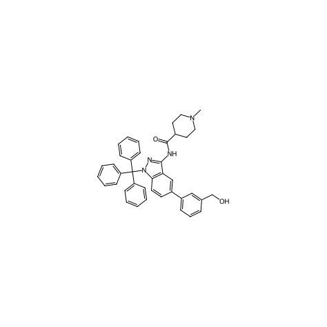 CN1CCC(C(=O)Nc2nn(C(c3ccccc3)(c3ccccc3)c3ccccc3)c3ccc(-c4cccc(CO)c4)cc23)CC1